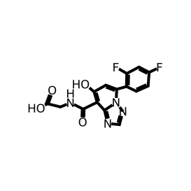 O=C(O)CNC(=O)c1c(O)cc(-c2ccc(F)cc2F)n2ncnc12